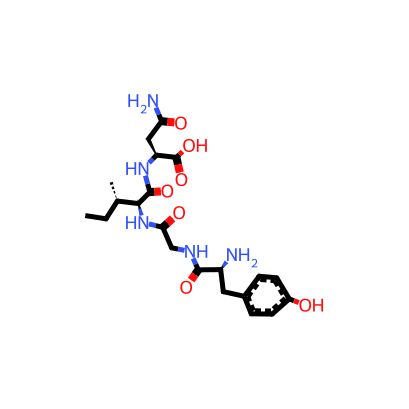 CC[C@H](C)[C@H](NC(=O)CNC(=O)[C@@H](N)Cc1ccc(O)cc1)C(=O)N[C@@H](CC(N)=O)C(=O)O